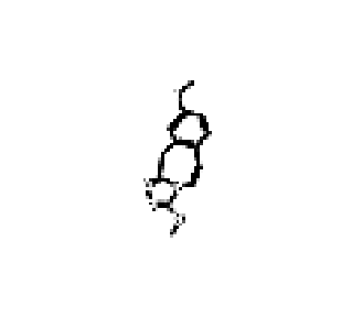 COc1ccc2c(c1)Cc1nnc(OC)n1C=C2